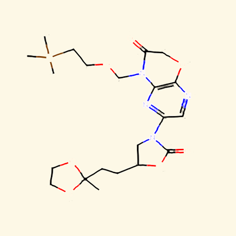 CC1(CCC2CN(c3cnc4c(n3)N(COCCS(C)(C)C)C(=O)CO4)C(=O)O2)OCCO1